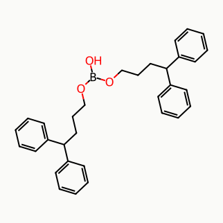 OB(OCCCC(c1ccccc1)c1ccccc1)OCCCC(c1ccccc1)c1ccccc1